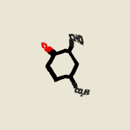 CCOC(=O)C1CCC(=O)C(C=O)C1